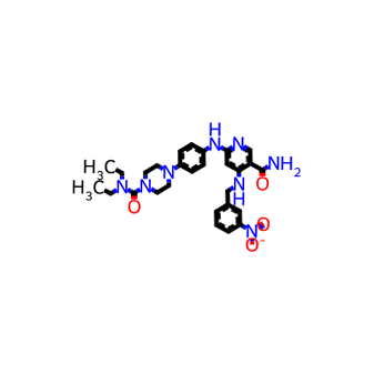 CCN(CC)C(=O)N1CCN(c2ccc(Nc3cc(NCc4cccc([N+](=O)[O-])c4)c(C(N)=O)cn3)cc2)CC1